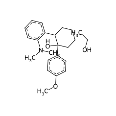 CCO.COc1ccc(C2(O)CCCCC2c2ccccc2N(C)C)cc1